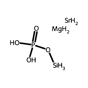 O=P(O)(O)O[SiH3].[MgH2].[SrH2]